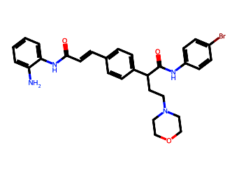 Nc1ccccc1NC(=O)C=Cc1ccc(C(CCN2CCOCC2)C(=O)Nc2ccc(Br)cc2)cc1